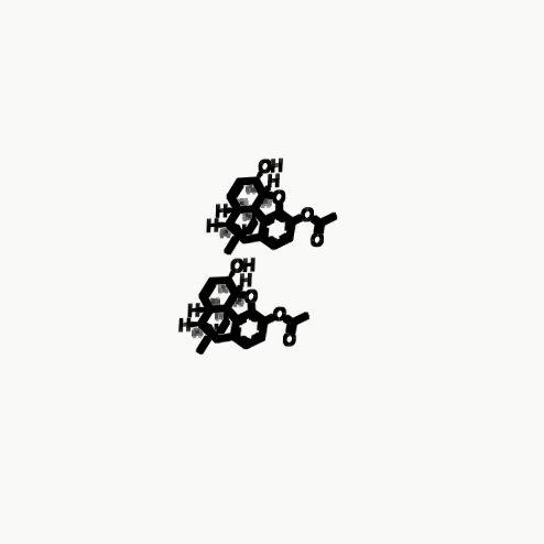 CC(=O)Oc1ccc2c3c1O[C@H]1[C@@H](O)C=C[C@H]4[C@@H](C2)N(C)CC[C@@]341.CC(=O)Oc1ccc2c3c1O[C@H]1[C@@H](O)C=C[C@H]4[C@@H](C2)N(C)CC[C@@]341